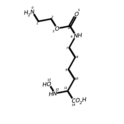 NCCOC(=O)NCCCCC(NO)C(=O)O